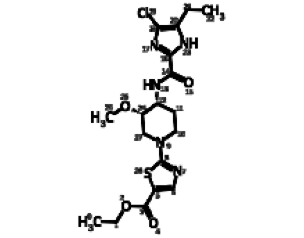 CCOC(=O)c1cnc(N2CC[C@@H](NC(=O)c3nc(Cl)c(CC)[nH]3)[C@@H](OC)C2)s1